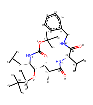 CC(C)C[C@H](NC(=O)OC(C)(C)C)[C@H](C[C@@H](C)C(=O)N[C@H](C(=O)NCc1ccccc1)C(C)C)O[Si](C)(C)C(C)(C)C